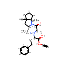 C#COC(=O)[C@H](CCc1ccccc1)N[C@@H](C)C(=O)N1[C@H](C(=O)O)C[C@@H]2CCC[C@@H]21